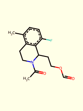 CC(=O)N1CCc2c(C)ccc(F)c2C1CCOC=O